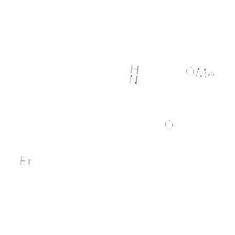 CCc1ccc(NC(=O)OC)c(C)c1